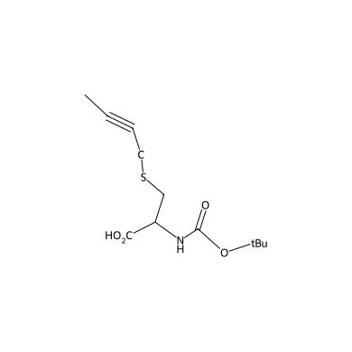 CC#CCSCC(NC(=O)OC(C)(C)C)C(=O)O